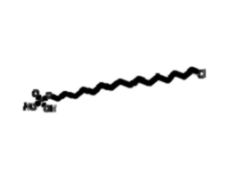 O=P(O)(O)OCCCCCCCCCCCCCCCCCl